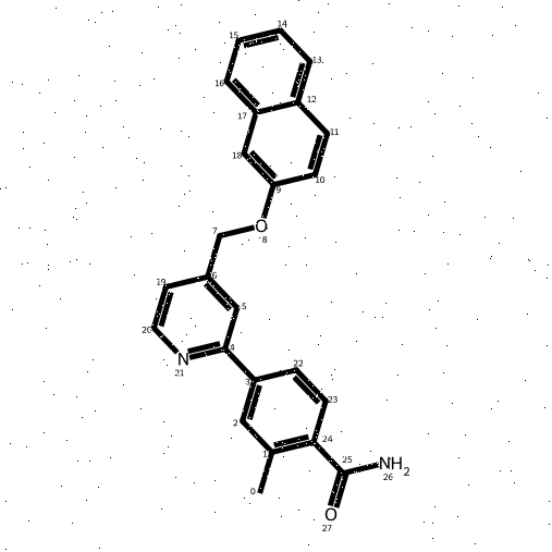 Cc1cc(-c2cc(COc3ccc4ccccc4c3)ccn2)ccc1C(N)=O